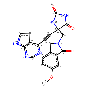 COc1ccc2c(c1)C(=O)N(C[C@@]1(C#Cc3ncnc4[nH]ccc34)NC(=O)NC1=O)C2